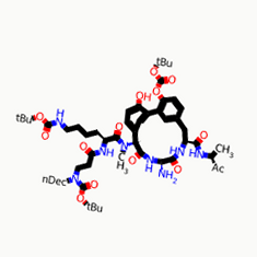 CCCCCCCCCCN(CCC(=O)N[C@@H](CCCCNC(=O)OC(C)(C)C)C(=O)N(C)[C@@H]1C(=O)N[C@@H](N)C(=O)N[C@H](C(=O)N[C@@H](C)C(C)=O)Cc2ccc(OC(=O)OC(C)(C)C)c(c2)-c2cc1ccc2O)C(=O)OC(C)(C)C